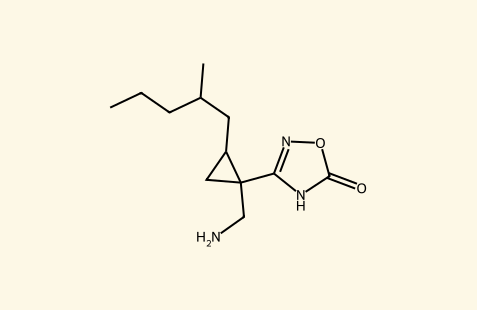 CCCC(C)CC1CC1(CN)c1noc(=O)[nH]1